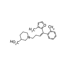 Cc1ccccc1C(=CCCN1CCCC(C(=O)O)C1)c1occc1C